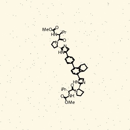 COC(=O)NC(C(=O)N1CCC[C@H]1c1ncc(-c2ccc(-c3ccc(-c4cnc([C@H]5CCCN5C(=O)[C@H](NC(=O)OC)C(C)C)[nH]4)c4c3C3CCC4C3)cc2)[nH]1)C(C)C